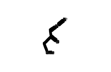 COCC(=O)C=[N+]=[N-]